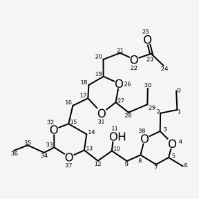 CCCC1OC(C)CC(CC(O)CC2CC(CC3CC(CCOC(C)=O)OC(CCC)O3)OC(CCC)O2)O1